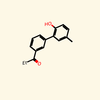 CCC(=O)c1cccc(-c2cc(C)ccc2O)c1